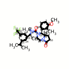 COc1cccc([C@H]2[C@@H]3CCC(=O)N3CCN2C(=O)N(C)[C@H](C)c2cc(C(C)C)cc(C(F)(F)F)c2)c1C